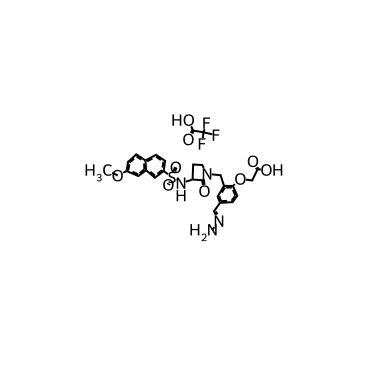 COc1ccc2ccc(S(=O)(=O)NC3CCN(Cc4cc(C=NN)ccc4OCC(=O)O)C3=O)cc2c1.O=C(O)C(F)(F)F